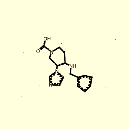 O=C(O)N1CCC(NCc2ccccc2)C(n2ccnc2)C1